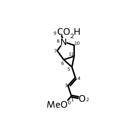 COC(=O)C=CC1C2CN(C(=O)O)CC12